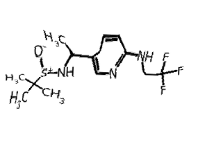 CC(N[S+]([O-])C(C)(C)C)c1ccc(NCC(F)(F)F)nc1